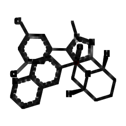 Cn1nc2c(c1-c1cc(Cl)cc(Cl)c1)C[C@H]1CCC[C@@H]2N1C(=O)c1ccc2ncccc2c1